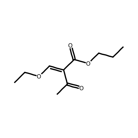 CCCOC(=O)C(=COCC)C(C)=O